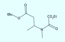 CCOC(=O)C(=O)N(C)C(C)CC(=O)OC(C)(C)C